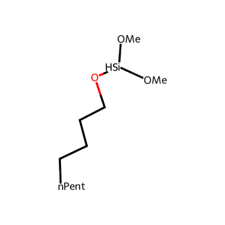 CCCCCCCCCO[SiH](OC)OC